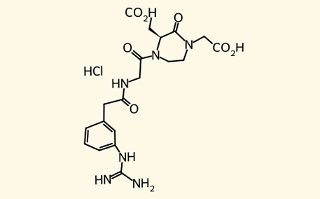 Cl.N=C(N)Nc1cccc(CC(=O)NCC(=O)N2CCN(CC(=O)O)C(=O)[C@@H]2CC(=O)O)c1